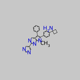 Cn1c(-c2ccc(C3(N)CCC3)cc2)c(-c2ccccc2)c2cnc(-c3cncnc3)nc21